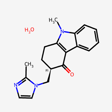 Cc1nccn1C[C@H]1CCc2c(c3ccccc3n2C)C1=O.O